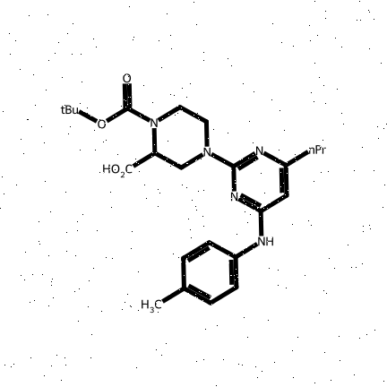 CCCc1cc(Nc2ccc(C)cc2)nc(N2CCN(C(=O)OC(C)(C)C)C(C(=O)O)C2)n1